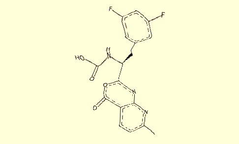 Cc1ccc2c(=O)oc([C@H](Cc3cc(F)cc(F)c3)NC(=O)O)nc2n1